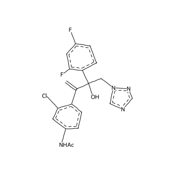 C=C(c1ccc(NC(C)=O)cc1Cl)C(O)(Cn1cncn1)c1ccc(F)cc1F